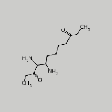 CCC(=O)[CH]CCCC(N)[C](N)C(=O)CC